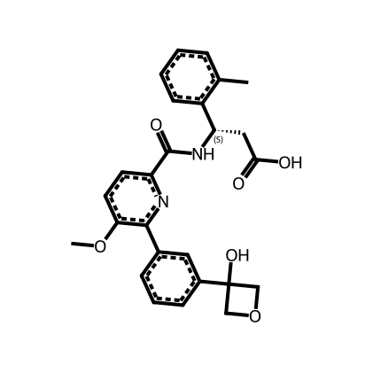 COc1ccc(C(=O)N[C@@H](CC(=O)O)c2ccccc2C)nc1-c1cccc(C2(O)COC2)c1